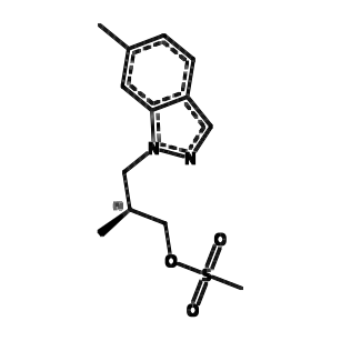 Cc1ccc2cnn(C[C@H](C)COS(C)(=O)=O)c2c1